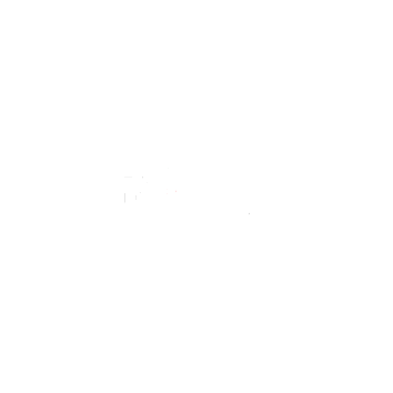 CCCCCCCCCOC(Cl)C(C)CC